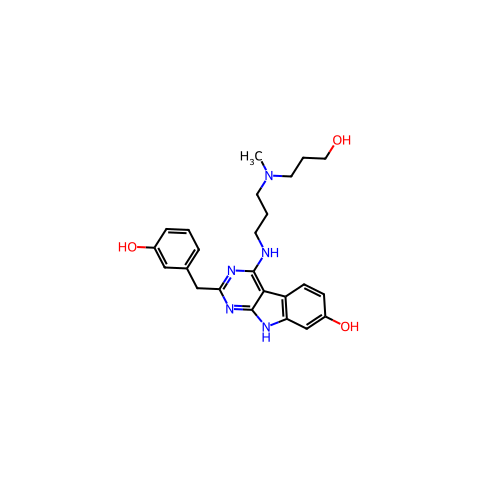 CN(CCCO)CCCNc1nc(Cc2cccc(O)c2)nc2[nH]c3cc(O)ccc3c12